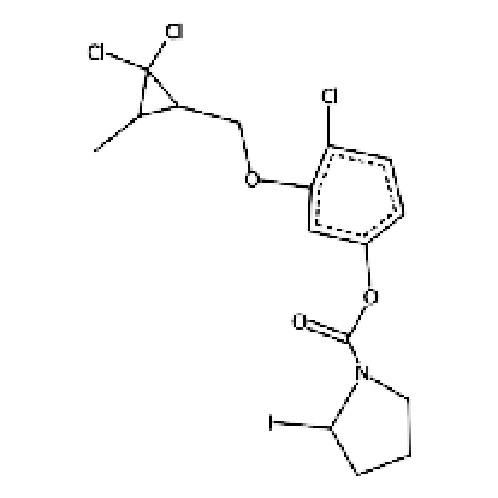 CC1C(COc2cc(OC(=O)N3CCCC3I)ccc2Cl)C1(Cl)Cl